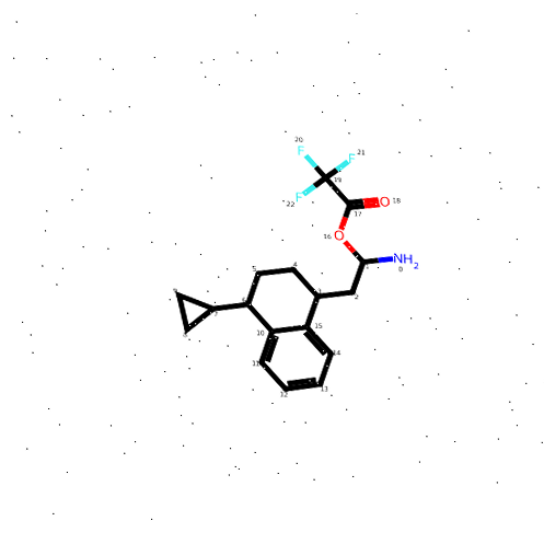 NC(CC1CCC(C2CC2)c2ccccc21)OC(=O)C(F)(F)F